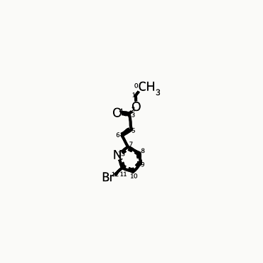 CCOC(=O)C=Cc1cccc(Br)n1